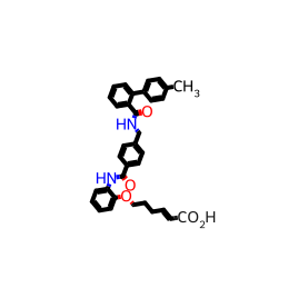 Cc1ccc(-c2ccccc2C(=O)NCc2ccc(C(=O)Nc3ccccc3OCCCC=CC(=O)O)cc2)cc1